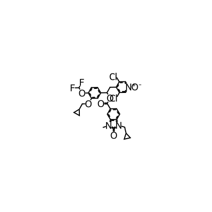 Cn1c(=O)n(CC2CC2)c2ccc(C(=O)OC(Cc3c(Cl)c[n+]([O-])cc3Cl)c3ccc(OC(F)F)c(OCC4CC4)c3)cc21